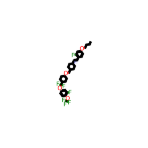 CCCCOc1ccc(/C=C/C2CCC(COC3CCC(C(F)(F)Oc4ccc(OC(F)(F)F)c(F)c4)CC3)CC2)c(F)c1